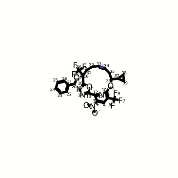 O=[N+]([O-])c1cc(C(F)(F)F)c2nc1-c1nnc(o1)[C@@](OCc1ccccc1)(C(F)(F)F)CC/C=C\CC(C1CC1)O2